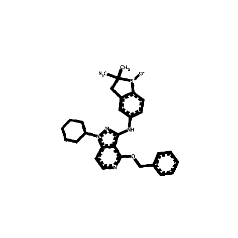 CC1(C)Cc2cc(Nc3nn(C4CCCCC4)c4ccnc(OCc5ccccc5)c34)ccc2[S+]1[O-]